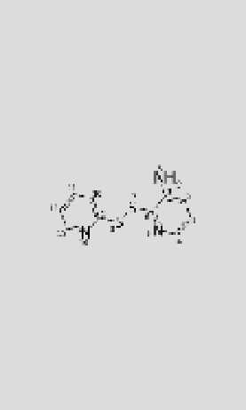 Nc1cccnc1SSc1ccccn1